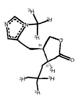 [2H]C([2H])([2H])C[C@]1([2H])C(=O)OC[C@@H]1Cc1cncn1C([2H])([2H])[2H]